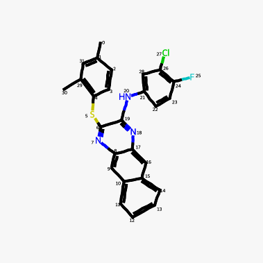 Cc1ccc(Sc2nc3cc4ccccc4cc3nc2Nc2ccc(F)c(Cl)c2)c(C)c1